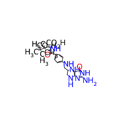 CC(C)(C(=O)O)C(C)(C)C(NC(=O)c1ccc(NCC2CNc3nc(N)[nH]c(=O)c3N2)cc1)C(=O)O